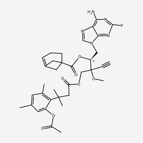 C#CC(COC(=O)CC(C)(C)c1c(C)cc(C)cc1OC(C)=O)(OC)[C@H](Cn1cnc2c(N)nc(F)nc21)OC(=O)C12CCC=C(C1)C2